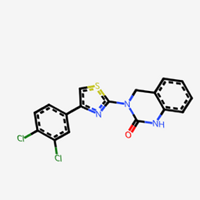 O=C1Nc2ccccc2CN1c1nc(-c2ccc(Cl)c(Cl)c2)cs1